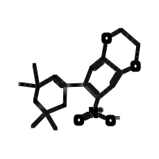 CC1(C)C=C(c2cc3c(cc2[N+](=O)[O-])OCCO3)CC(C)(C)C1